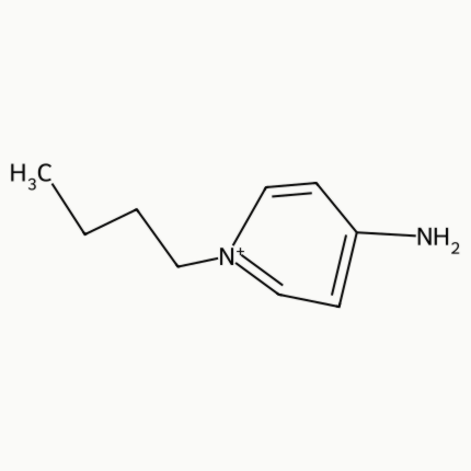 CCCC[n+]1ccc(N)cc1